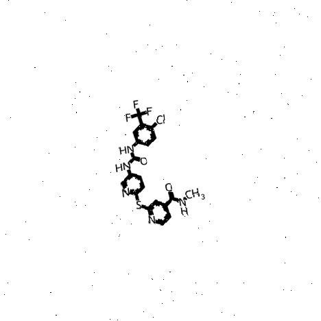 CNC(=O)c1ccnc(Sc2ccc(NC(=O)Nc3ccc(Cl)c(C(F)(F)F)c3)cn2)c1